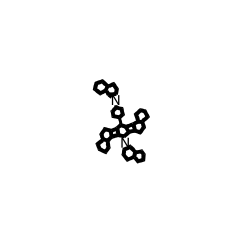 c1ccc2c3c(ccc2c1)N3c1ccc(-c2c3c4ccc5ccccc5c4c3c(N3c4ccc5ccccc5c43)c3c4ccc5ccccc5c4c23)cc1